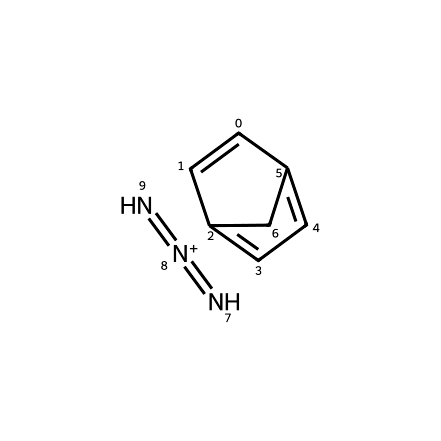 C1=CC2=CC=C1C2.N=[N+]=N